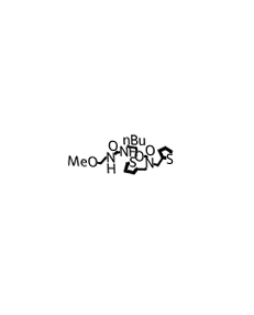 CCCC[C@@H](COC(=O)N(Cc1cccs1)Cc1cccs1)NC(=O)NCCOC